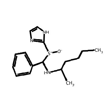 CCCCC(C)NC(c1ccccc1)[S+]([O-])c1ncc[nH]1